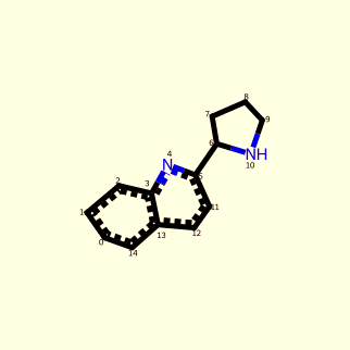 c1ccc2nc(C3CCCN3)ccc2c1